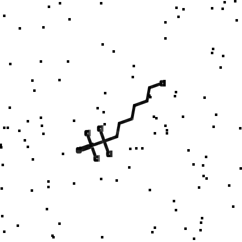 O=P(Cl)(Cl)C(Cl)(Cl)CCCCCCCl